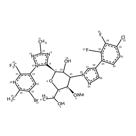 CO[C@H]1C(C(C)O)O[C@@H](c2nc(C)nn2-c2cc(Br)c(C)nc2C(F)(F)F)C(O)C1n1cc(-c2ccc(Cl)c(F)c2F)cn1